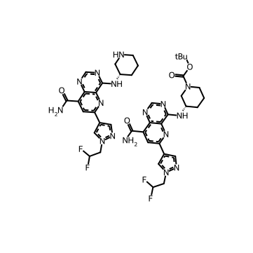 CC(C)(C)OC(=O)N1CCC[C@H](Nc2ncnc3c(C(N)=O)cc(-c4cnn(CC(F)F)c4)nc23)C1.NC(=O)c1cc(-c2cnn(CC(F)F)c2)nc2c(N[C@H]3CCCNC3)ncnc12